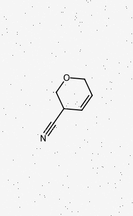 N#CC1[CH]OCC=C1